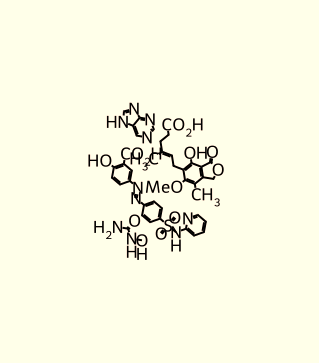 COc1c(C)c2c(c(O)c1C/C=C(\C)CCC(=O)O)C(=O)OC2.NC(=O)NO.O=C(O)c1cc(/N=N/c2ccc(S(=O)(=O)Nc3ccccn3)cc2)ccc1O.c1ncc2[nH]cnc2n1